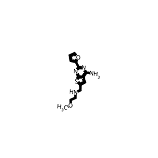 COCCNCc1cc2c(N)nc(-c3ccco3)nc2s1